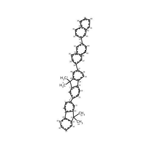 CC1(C)c2cc(-c3ccc4c(c3)C(C)(C)c3cccnc3-4)ccc2-c2ccc(-c3ccc4cc(-c5ccc6ccccc6c5)ccc4c3)cc21